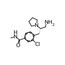 CNC(=O)c1ccc(C[C@@H](CN)N2CCCC2)c(Cl)c1